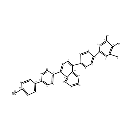 Cc1nc(-c2ccc(-c3ccc(-c4ccc(-c5ccc(C#N)cc5)cc4)c4ccccc34)cc2)nc(C)c1C